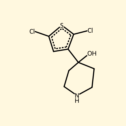 OC1(c2cc(Cl)sc2Cl)CCNCC1